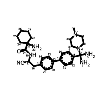 CN1CCN(C(N)(N)c2ccc(-c3ccc(C[C@@H](C#N)NC(=O)C4(N)CCCCC4)cc3)cc2)CC1